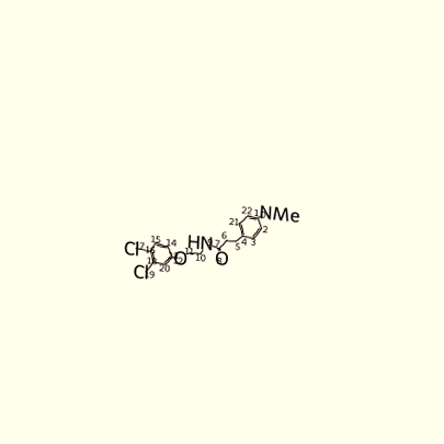 CNc1ccc(CCC(=O)NCCOc2ccc(Cl)c(Cl)c2)cc1